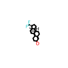 C[C@]12CCC3=C4CCC(=O)C=C4CC[C@H]3[C@@H]1CC[C@@H]2C(F)F